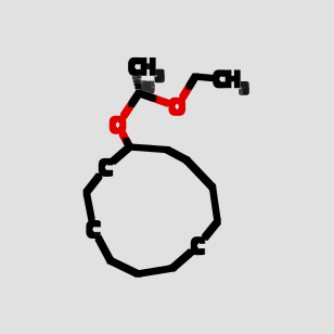 CCO[C@@H](C)OC1CCCCCCCCCCC1